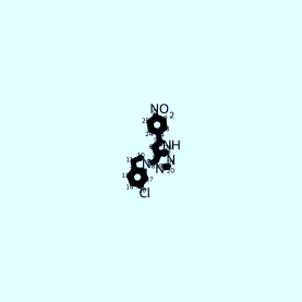 O=[N+]([O-])c1ccc(-c2cc3c(N4CCc5ccc(Cl)cc54)ncnc3[nH]2)cc1